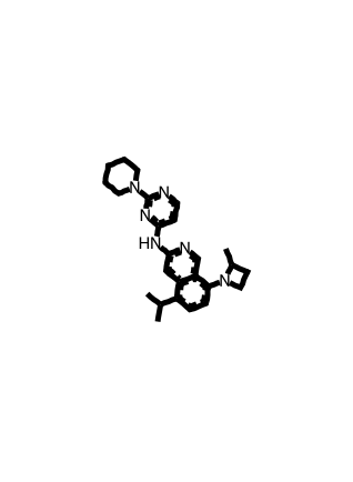 CC(C)c1ccc(N2CCC2C)c2cnc(Nc3ccnc(N4CCCCC4)n3)cc12